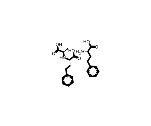 C[C@@H](N[C@@H](CCc1ccccc1)C(=O)O)C(=O)O.N[C@@H](CCc1ccccc1)C(=O)O